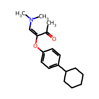 CC(=O)C(=CN(C)C)Oc1ccc(C2CCCCC2)cc1